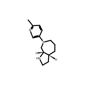 Cc1ccc(N2CCC[C@@H]3CCN[C@@H]3C2)cn1